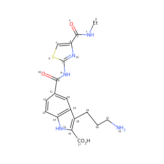 CCNC(=O)c1csc(NC(=O)c2ccc3[nH]c(C(=O)O)c(CCCN)c3c2)n1